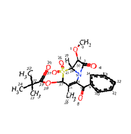 CO[C@H]1C(=O)N2C(C(=O)c3ccccc3)=C(C)C(OC(=O)C(C)(C)C)S(=O)(=O)[C@H]12